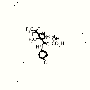 Cn1nc(C(F)(F)C(F)(F)F)c(C(F)(F)F)c1C(=O)Nc1ccc(Cl)cc1.O=C(O)O